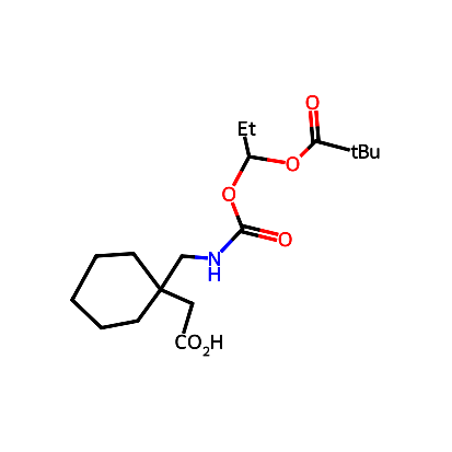 CCC(OC(=O)NCC1(CC(=O)O)CCCCC1)OC(=O)C(C)(C)C